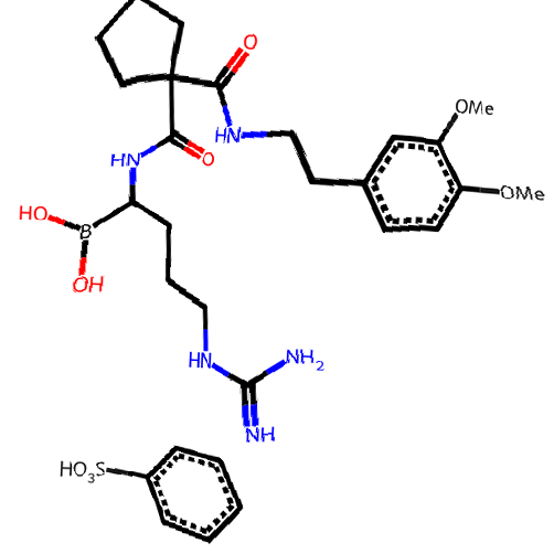 COc1ccc(CCNC(=O)C2(C(=O)NC(CCCNC(=N)N)B(O)O)CCCC2)cc1OC.O=S(=O)(O)c1ccccc1